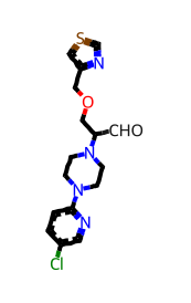 O=CC(COCc1cscn1)N1CCN(c2ccc(Cl)cn2)CC1